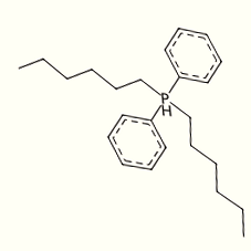 CCCCCC[PH](CCCCCC)(c1ccccc1)c1ccccc1